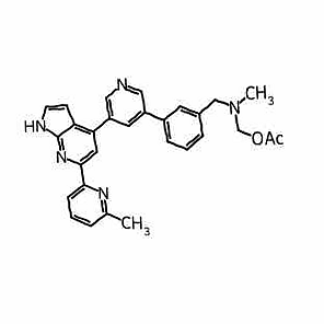 CC(=O)OCN(C)Cc1cccc(-c2cncc(-c3cc(-c4cccc(C)n4)nc4[nH]ccc34)c2)c1